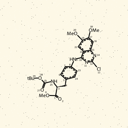 COC(=O)[C@H](Cc1ccc(Nc2nc(Cl)nc3cc(OC)c(OC)cc23)cc1)NC(=O)OC(C)(C)C